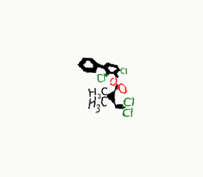 CC1(C)[C@H](C=C(Cl)Cl)[C@@H]1C(=O)OCc1c(Cl)ccc(-c2ccccc2)c1Cl